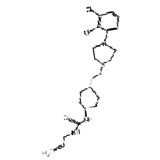 C=CCNC(=O)N[C@H]1CC[C@H](CCN2CCN(c3cccc(Cl)c3Cl)CC2)CC1